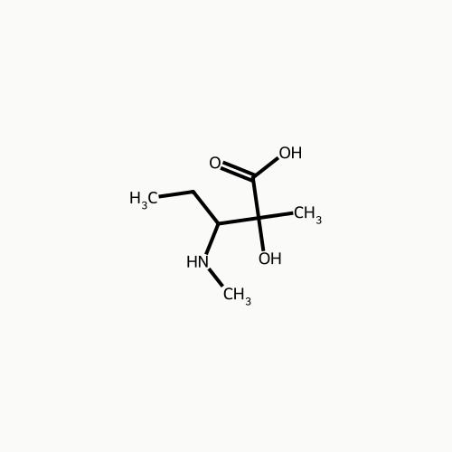 CCC(NC)C(C)(O)C(=O)O